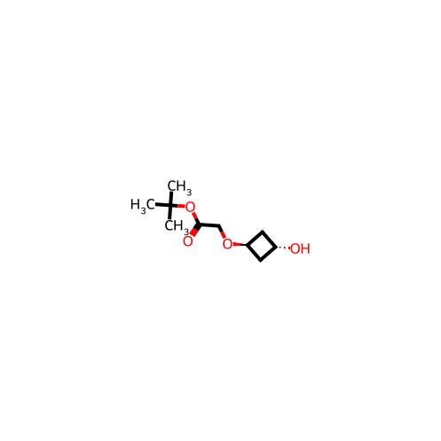 CC(C)(C)OC(=O)CO[C@H]1C[C@H](O)C1